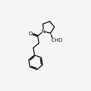 O=C[C@@H]1CCCN1C(=O)CCc1ccccc1